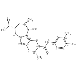 CCC(O)[C@@H]1CN(C)C(=O)c2c3c(nn2C1)C[C@@H](C)N(C(=O)Nc1ccc(F)c(C(F)(F)F)c1)C3